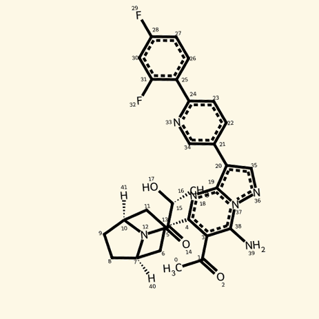 CC(=O)c1c([C@@H]2C[C@H]3CC[C@@H](C2)N3C(=O)[C@@H](C)O)nc2c(-c3ccc(-c4ccc(F)cc4F)nc3)cnn2c1N